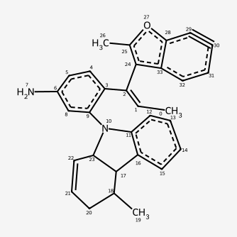 C/C=C(/c1ccc(N)cc1N1c2ccccc2C2C(C)CC=CC21)c1c(C)oc2c#cccc12